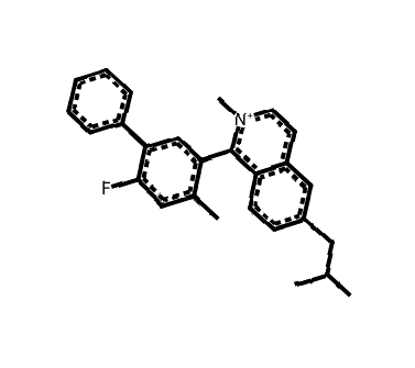 Cc1cc(F)c(-c2ccccc2)cc1-c1c2ccc(CC(C)C)cc2cc[n+]1C